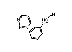 N#CO.Oc1ccccc1.c1cnnnc1